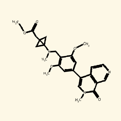 COC(=O)C12CC1(N(C)Cc1c(OC)cc(-c3cn(C)c(=O)c4cnccc34)cc1OC)C2